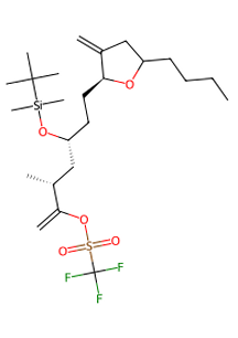 C=C(OS(=O)(=O)C(F)(F)F)[C@H](C)C[C@@H](CC[C@@H]1OC(CCCC)CC1=C)O[Si](C)(C)C(C)(C)C